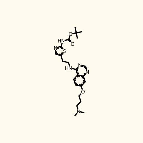 CN(C)CCCOc1ccc2c(NCCc3cnc(NC(=O)OC(C)(C)C)s3)ncnc2c1